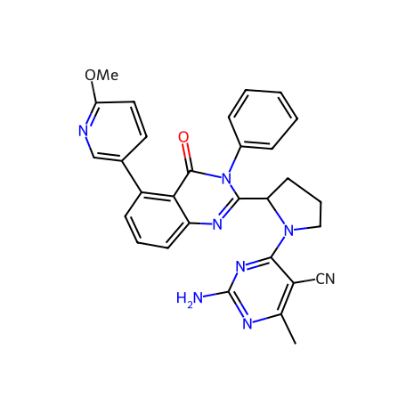 COc1ccc(-c2cccc3nc(C4CCCN4c4nc(N)nc(C)c4C#N)n(-c4ccccc4)c(=O)c23)cn1